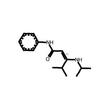 CC(C)N/C(=C/C(=O)Nc1ccccc1)C(C)C